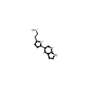 O=CCCc1ccc(-c2cnc3[nH]ccc3c2)o1